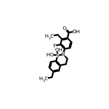 CCc1ccc2c(c1)CCN(c1ccc(C(=O)O)c(CC)c1F)S2(O)O